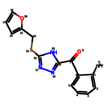 CCCc1ccccc1C(=O)c1nnc(SCc2ccco2)[nH]1